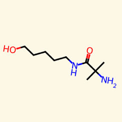 CC(C)(N)C(=O)NCCCCCO